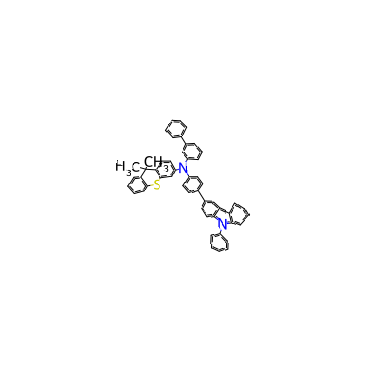 CC1(C)c2ccccc2Sc2cc(N(c3ccc(-c4ccc5c(c4)c4ccccc4n5-c4ccccc4)cc3)c3cccc(-c4ccccc4)c3)ccc21